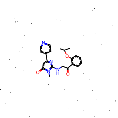 CC(C)Oc1ccccc1C(=O)CNc1nc(-c2ccncc2)cc(=O)n1C